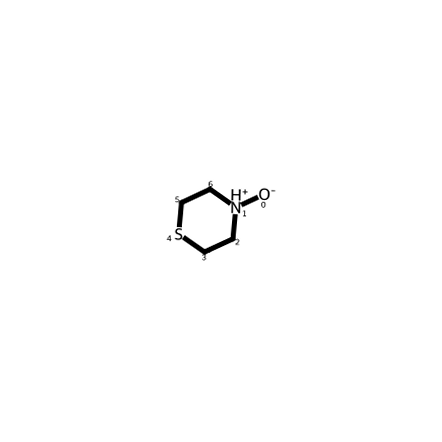 [O-][NH+]1C[CH]SCC1